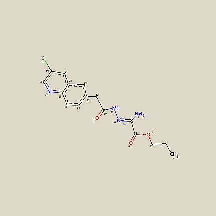 CCCOC(=O)/C(N)=N/NC(=O)Cc1ccc2ncc(Cl)cc2c1